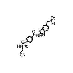 CCN(CC)Cc1ccc2nc(NC(=O)c3ccc(S(=O)(=O)NCCC#N)cc3)sc2c1